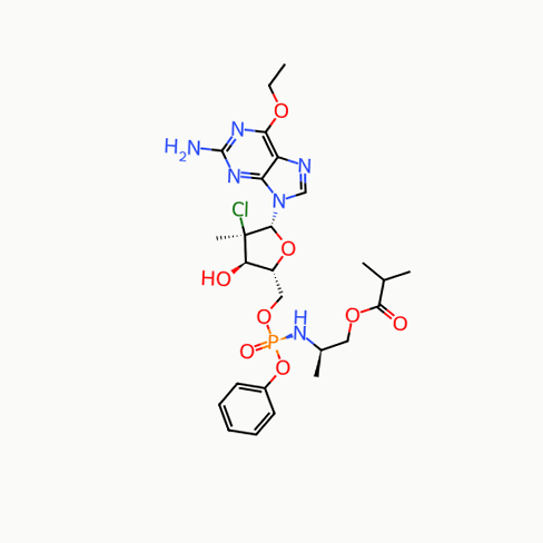 CCOc1nc(N)nc2c1ncn2[C@@H]1O[C@H](CO[P@](=O)(N[C@H](C)COC(=O)C(C)C)Oc2ccccc2)[C@@H](O)[C@@]1(C)Cl